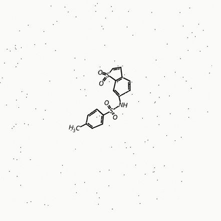 Cc1ccc(S(=O)(=O)Nc2ccc3c(c2)S(=O)(=O)C=C3)cc1